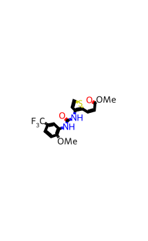 COC(=O)/C=C\c1sccc1NC(=O)Nc1cc(C(F)(F)F)ccc1OC